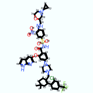 CC1(C)CCC(CN2CCN(c3ccc(C(=O)NS(=O)(=O)c4ccc(NCC5CN(C6CC6)CCO5)c([N+](=O)[O-])c4)c(Oc4cnc5[nH]ccc5c4)c3)CC2)=C(c2ccc(C(F)(F)F)cc2Cl)C1